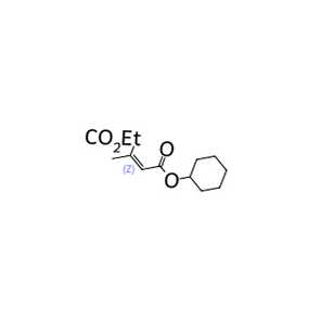 CCOC(=O)/C(C)=C\C(=O)OC1CCCCC1